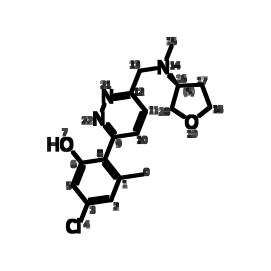 Cc1cc(Cl)cc(O)c1-c1ccc(CN(C)[C@H]2CCOC2)nn1